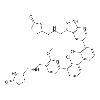 COc1nc(-c2cccc(-c3cccc(-c4cnc5[nH]nc(CNCC6CCC(=O)N6)c5c4)c3Cl)c2Cl)ccc1CNCC1CCC(=O)N1